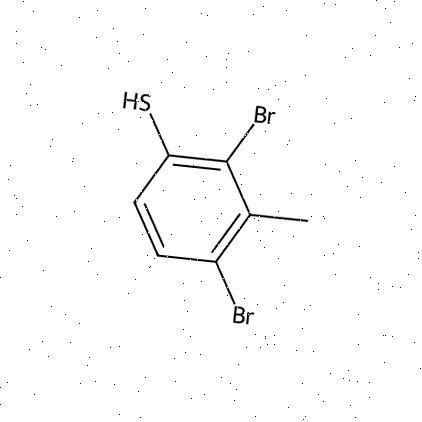 Cc1c(Br)ccc(S)c1Br